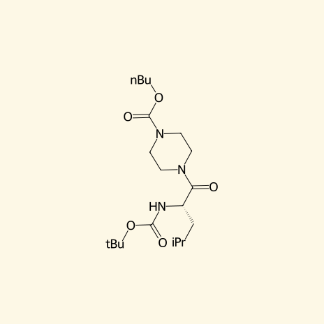 CCCCOC(=O)N1CCN(C(=O)[C@H](CC(C)C)NC(=O)OC(C)(C)C)CC1